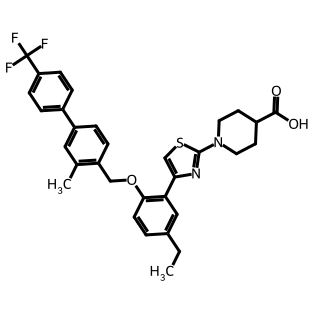 CCc1ccc(OCc2ccc(-c3ccc(C(F)(F)F)cc3)cc2C)c(-c2csc(N3CCC(C(=O)O)CC3)n2)c1